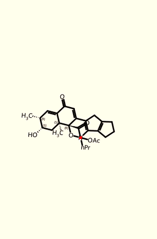 CCCN1O[C@@]2(C(=O)COC(C)=O)C(=CC(=O)C3=C[C@@H](C)[C@@H](O)C[C@@]32C)C2=C1C1=C(CCC1)C2